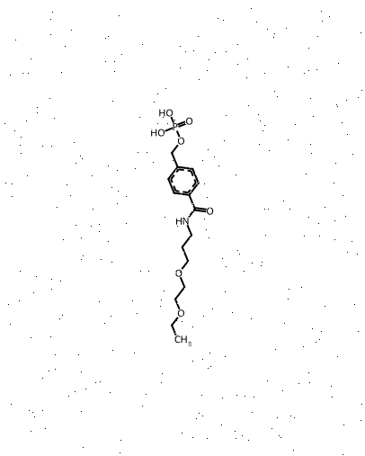 CCOCCOCCCNC(=O)c1ccc(COP(=O)(O)O)cc1